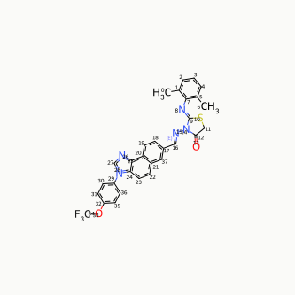 Cc1cccc(C)c1N=C1SCC(=O)N1/N=C/c1ccc2c(ccc3c2ncn3-c2ccc(OC(F)(F)F)cc2)c1